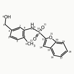 Cc1ccc(CO)cc1NS(=O)(=O)c1cc2ccccc2o1